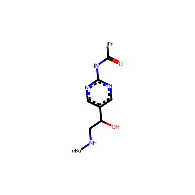 CCCCNCC(O)c1cnc(NC(=O)C(C)C)nc1